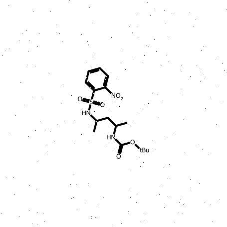 CC(CC(C)NS(=O)(=O)c1ccccc1[N+](=O)[O-])NC(=O)OC(C)(C)C